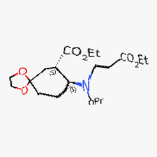 CCCN(CCC(=O)OCC)[C@H]1CCC2(C[C@@H]1C(=O)OCC)OCCO2